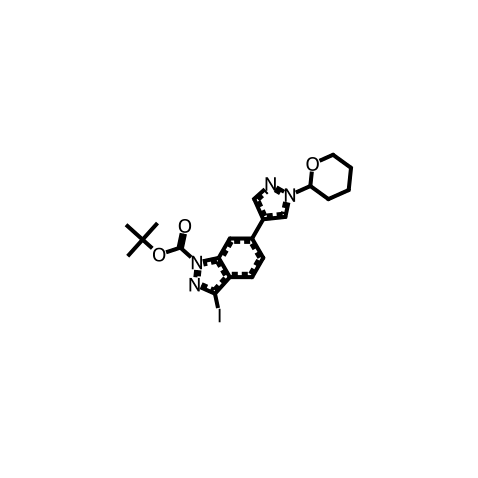 CC(C)(C)OC(=O)n1nc(I)c2ccc(-c3cnn(C4CCCCO4)c3)cc21